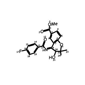 COC(=O)c1ccc2c(c1)/C(=N\C(=O)c1ccc(F)cc1)C(O)C(C)(C)O2